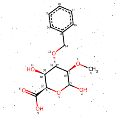 CO[C@H]1C(O)O[C@@H](C(=O)O)[C@@H](O)[C@@H]1OCc1ccccc1